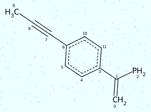 C=C(P)c1ccc(C#CC)cc1